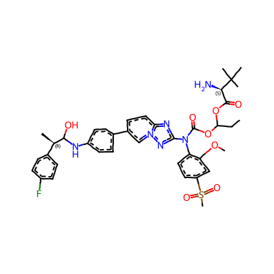 CCC(OC(=O)[C@@H](N)C(C)(C)C)OC(=O)N(c1nc2ccc(-c3ccc(NC(O)[C@H](C)c4ccc(F)cc4)cc3)cn2n1)c1ccc(S(C)(=O)=O)cc1OC